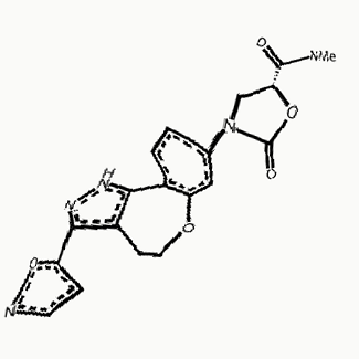 CNC(=O)[C@H]1CN(c2ccc3c(c2)OCCc2c(-c4ccno4)n[nH]c2-3)C(=O)O1